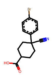 N#CC1(c2ccc(Br)cc2)CCC(C(=O)O)CC1